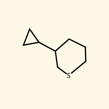 C1CSCC(C2CC2)C1